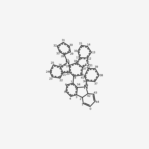 C1=CC2c3cccc(-c4cc5sc6ccccc6c5c5c4c4ccccc4n5-c4ccccc4)c3N(c3ccccc3)C2C=C1